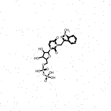 Cn1nc(Cn2c(=O)ccn(C3OC(COP(=O)(O)OP(=O)(O)O)C(O)C3O)c2=O)c2ccccc21